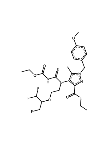 CCOC(=O)NC(=S)N(CCOC(CF)C(F)F)c1c(C(=O)OCC)nn(Cc2ccc(OC)cc2)c1C